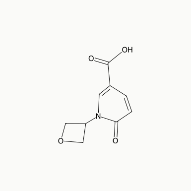 O=C(O)c1ccc(=O)n(C2COC2)c1